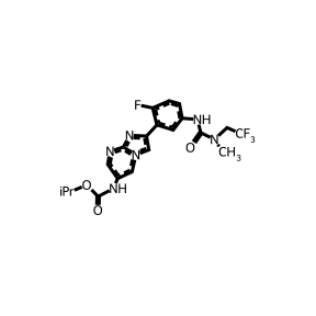 CC(C)OC(=O)Nc1cnc2nc(-c3cc(NC(=O)N(C)CC(F)(F)F)ccc3F)cn2c1